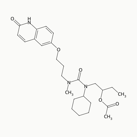 CCC(CN(C(=O)N(C)CCCOc1ccc2[nH]c(=O)ccc2c1)C1CCCCC1)OC(C)=O